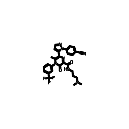 Cc1c(-c2ccnn2-c2ccc(C#N)cc2)nc(C(=O)NCCCN(C)C)c(=O)n1-c1cccc(C(F)(F)F)c1